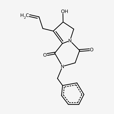 C=CCC1=C2C(=O)N(Cc3ccccc3)CC(=O)N2CC1O